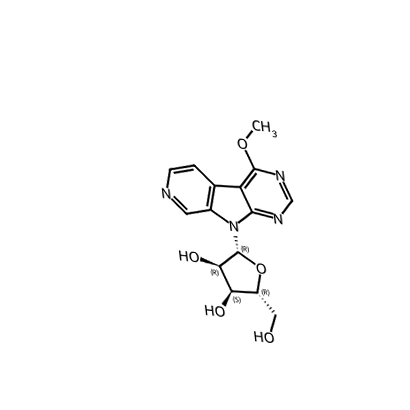 COc1ncnc2c1c1ccncc1n2[C@@H]1O[C@H](CO)[C@@H](O)[C@H]1O